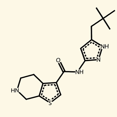 CC(C)(C)Cc1cc(NC(=O)c2csc3c2CCNC3)n[nH]1